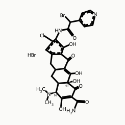 Br.CN(C)[C@@H]1C(O)=C(C(N)=O)C(=O)[C@@]2(O)C(O)=C3C(=O)c4c(cc(Cl)c(NC(=O)C(Br)c5ccncc5)c4O)CC3CC12